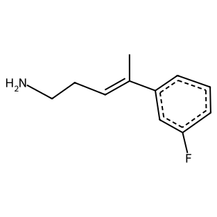 CC(=CCCN)c1cccc(F)c1